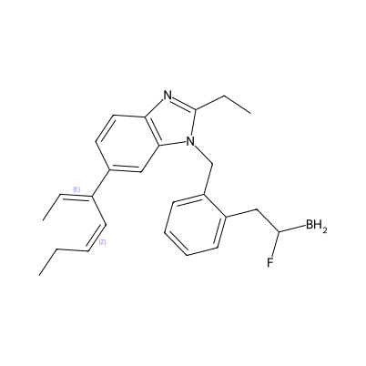 BC(F)Cc1ccccc1Cn1c(CC)nc2ccc(C(/C=C\CC)=C/C)cc21